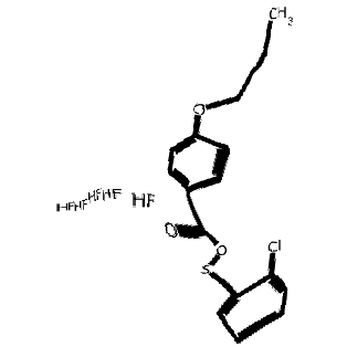 CCCCOc1ccc(C(=O)OSc2ccccc2Cl)cc1.F.F.F.F.F